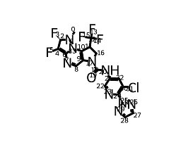 CN1[C@@H](F)C(F)=C2N=CC3=C(C(C(F)(F)F)CN3C(=O)Nc3cnc(-n4nccn4)c(Cl)c3)N21